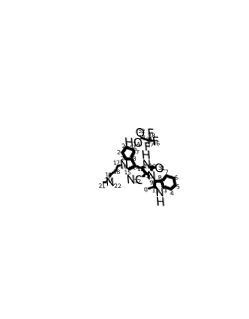 Cc1[nH]c2ccccc2c1-n1c(C#N)c(-c2cn(CCCN(C)C)c3ccccc23)[nH]c1=O.O=C(O)C(F)(F)F